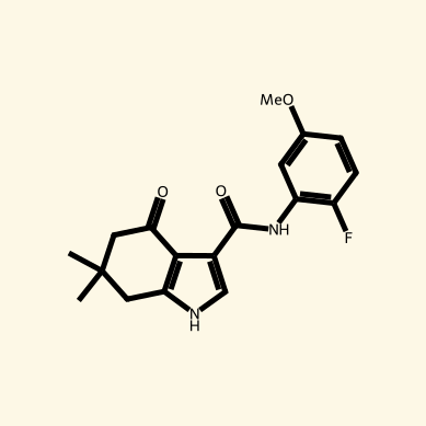 COc1ccc(F)c(NC(=O)c2c[nH]c3c2C(=O)CC(C)(C)C3)c1